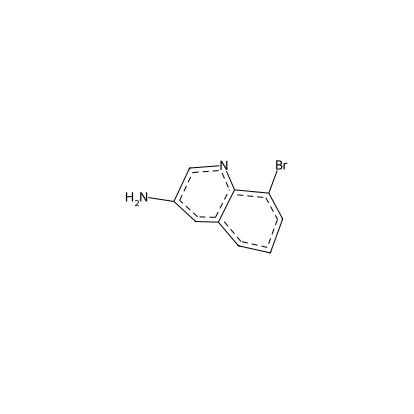 Nc1cnc2c(Br)cccc2c1